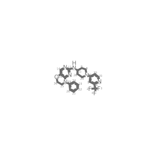 FC(F)(F)c1cc(N2CCC(Nc3ncc4c(n3)N(c3ccccc3)CCO4)CC2)ccn1